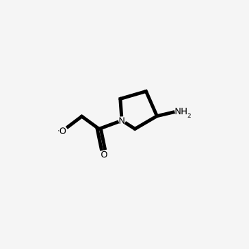 NC1CCN(C(=O)C[O])C1